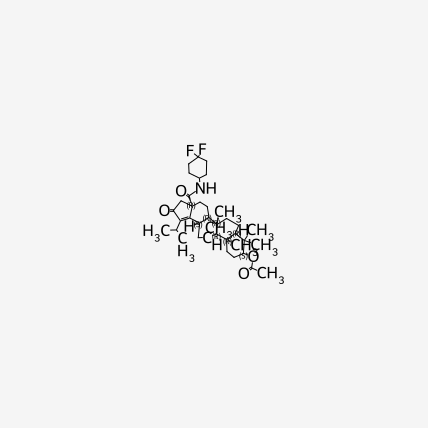 CC(=O)O[C@H]1CC[C@]2(C)[C@H]3CC[C@@H]4C5=C(C(C)C)C(=O)C[C@]5(C(=O)NC5CCC(F)(F)CC5)CC[C@@]4(C)[C@]3(C)CC[C@H]2C1(C)C